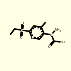 CCS(=O)(=O)c1cc(I)c(N(N)C(=O)O)cn1